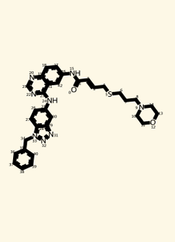 O=C(C=CCSCCCN1CCOCC1)Nc1ccc2ncnc(Nc3ccc4c(c3)nnn4Cc3ccccc3)c2c1